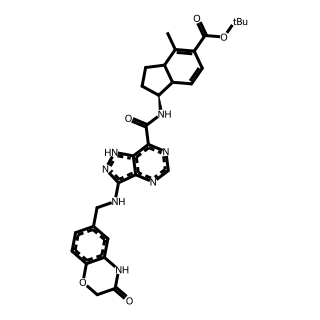 CC1=C(C(=O)OC(C)(C)C)C=CC2C1CC[C@@H]2NC(=O)c1ncnc2c(NCc3ccc4c(c3)NC(=O)CO4)n[nH]c12